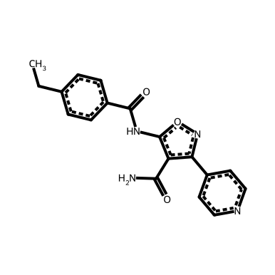 CCc1ccc(C(=O)Nc2onc(-c3ccncc3)c2C(N)=O)cc1